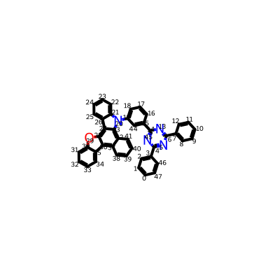 c1ccc(-c2nc(-c3ccccc3)nc(-c3cccc(-n4c5ccccc5c5c6oc7ccccc7c6c6ccccc6c54)c3)n2)cc1